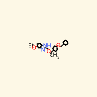 CCOc1ccc2[nH]c(COC(C)c3ccc(OCc4ccccc4)cc3)nc2c1